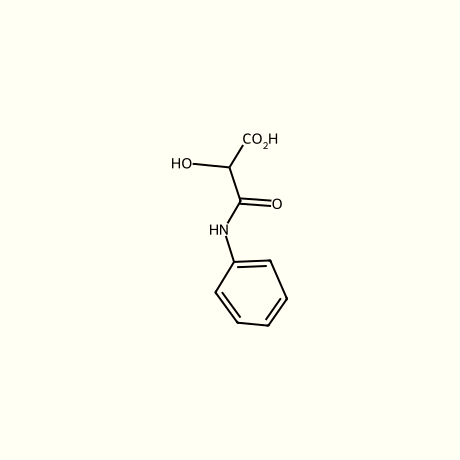 O=C(O)C(O)C(=O)Nc1ccccc1